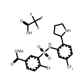 CCc1ccc(C(=O)OC)cc1S(=O)(=O)Nc1cc(C(F)(F)F)ccc1C1CCCN1.O=C(O)C(F)(F)F